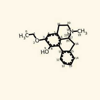 CCOc1cc2c3c(c1O)-c1ccccc1C[C@H]3N(C)CC2